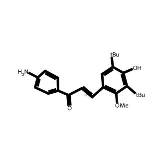 COc1c(/C=C/C(=O)c2ccc(N)cc2)cc(C(C)(C)C)c(O)c1C(C)(C)C